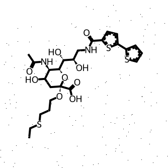 CCSCCCO[C@]1(C(=O)O)CC(O)[C@@H](NC(C)=O)[C@H]([C@H](O)[C@H](O)CNC(=O)c2ccc(-c3cccs3)s2)O1